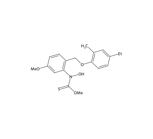 CCc1ccc(OCc2ccc(OC)cc2N(O)C(=S)OC)c(C)c1